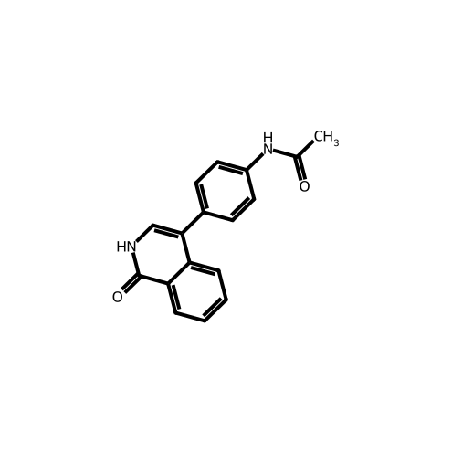 CC(=O)Nc1ccc(-c2c[nH]c(=O)c3ccccc23)cc1